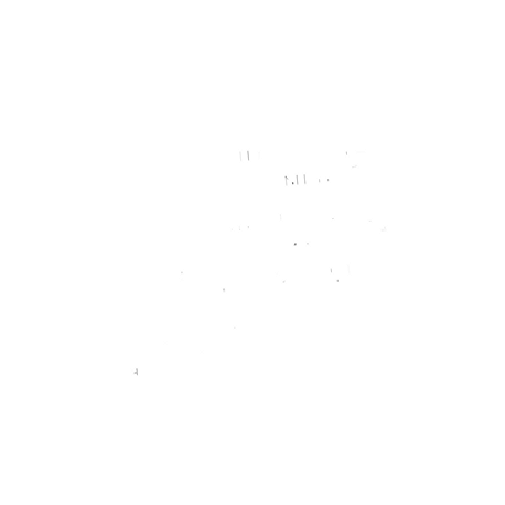 CNC(=O)C(C)(OCc1ccc(Br)cc1)C(=O)OC